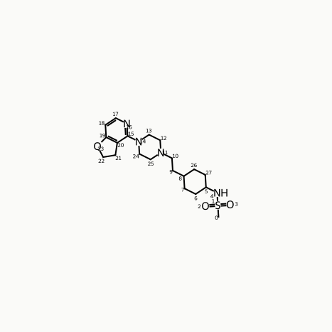 CS(=O)(=O)NC1CCC(CCN2CCN(c3nccc4c3CCO4)CC2)CC1